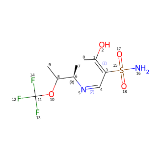 C/C(O)=C(\C=N/[C@H](C)C(C)OC(F)(F)F)S(N)(=O)=O